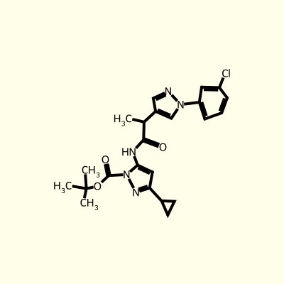 CC(C(=O)Nc1cc(C2CC2)nn1C(=O)OC(C)(C)C)c1cnn(-c2cccc(Cl)c2)c1